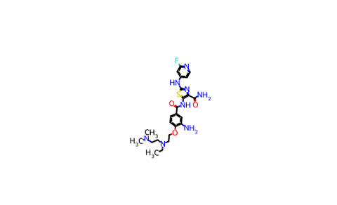 CCN(CCOc1ccc(C(=O)Nc2sc(Nc3ccnc(F)c3)nc2C(N)=O)cc1N)CCN(C)C